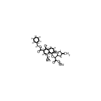 C=C1CNC(C(Oc2c(F)ccc3c(=O)c(C(=O)OCc4ccccc4)cn(C4CC4)c23)C(=O)OC(C)(C)C)C1